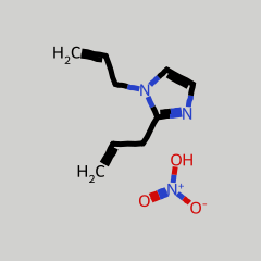 C=CCc1nccn1CC=C.O=[N+]([O-])O